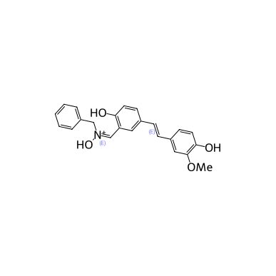 COc1cc(/C=C/c2ccc(O)c(/C=[N+](/O)Cc3ccccc3)c2)ccc1O